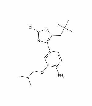 CC(C)COc1cc(-c2nc(Cl)sc2CC(C)(C)C)ccc1P